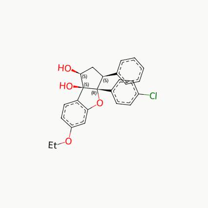 CCOc1ccc2c(c1)O[C@@]1(c3ccc(Cl)cc3)[C@H](c3ccccc3)C[C@H](O)[C@@]21O